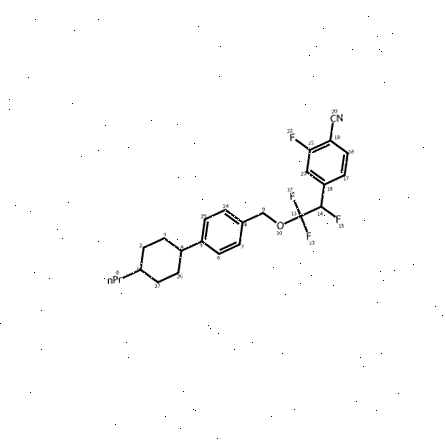 CCCC1CCC(c2ccc(COC(F)(F)C(F)c3ccc(C#N)c(F)c3)cc2)CC1